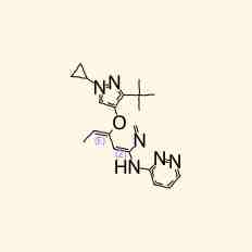 C=N/C(=C\C(=C/C)Oc1cn(C2CC2)nc1C(C)(C)C)Nc1cccnn1